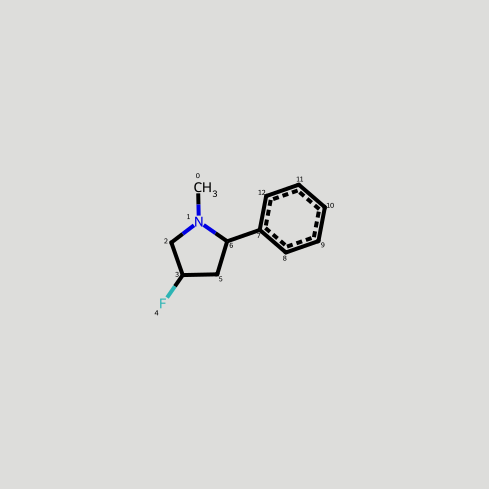 CN1CC(F)CC1c1ccccc1